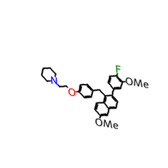 COc1ccc2c(Cc3ccc(OCCN4CCCCC4)cc3)c(-c3ccc(F)c(OC)c3)ccc2c1